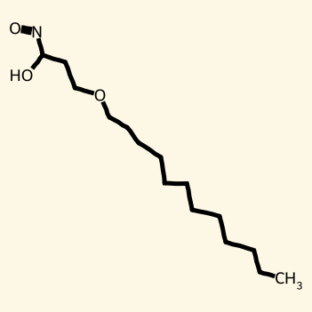 CCCCCCCCCCCCOCCC(O)N=O